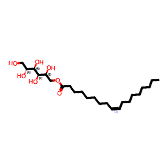 CCCCCCCC/C=C\CCCCCCCC(=O)OC[C@H](O)[C@@H](O)[C@H](O)[C@H](O)CO